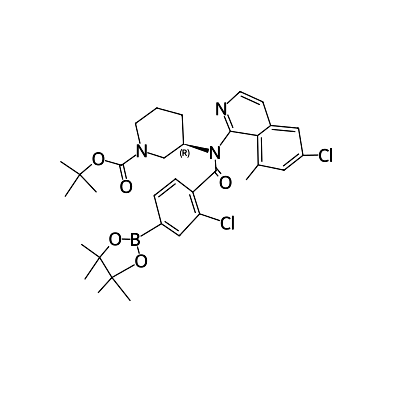 Cc1cc(Cl)cc2ccnc(N(C(=O)c3ccc(B4OC(C)(C)C(C)(C)O4)cc3Cl)[C@@H]3CCCN(C(=O)OC(C)(C)C)C3)c12